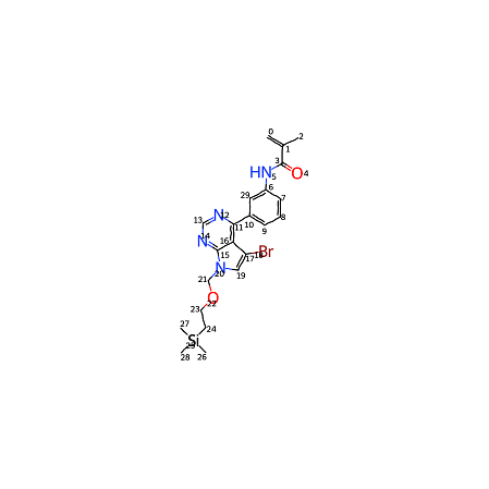 C=C(C)C(=O)Nc1cccc(-c2ncnc3c2c(Br)cn3COCC[Si](C)(C)C)c1